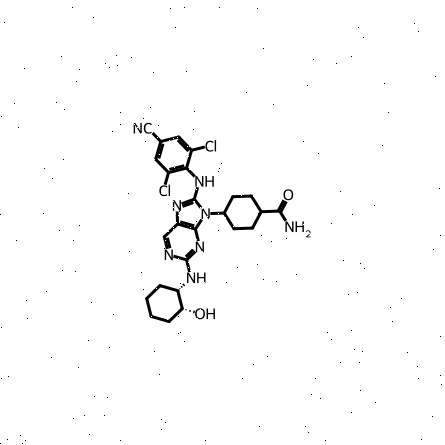 N#Cc1cc(Cl)c(Nc2nc3cnc(N[C@H]4CCCC[C@H]4O)nc3n2C2CCC(C(N)=O)CC2)c(Cl)c1